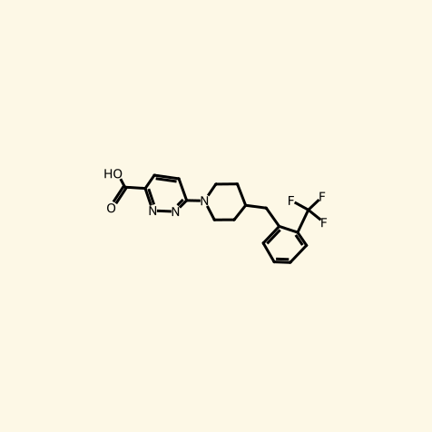 O=C(O)c1ccc(N2CCC(Cc3ccccc3C(F)(F)F)CC2)nn1